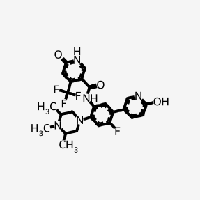 CC1CN(c2cc(F)c(-c3ccc(O)nc3)cc2NC(=O)c2c[nH]c(=O)cc2C(F)(F)F)CC(C)N1C